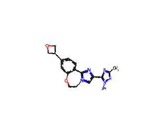 Cc1nc(-c2cn3c(n2)-c2ccc(C4COC4)cc2OCC3)n(C(C)C)n1